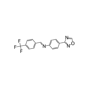 FC(F)(F)c1ccc(C=Nc2ccc(-c3ncon3)cc2)cc1